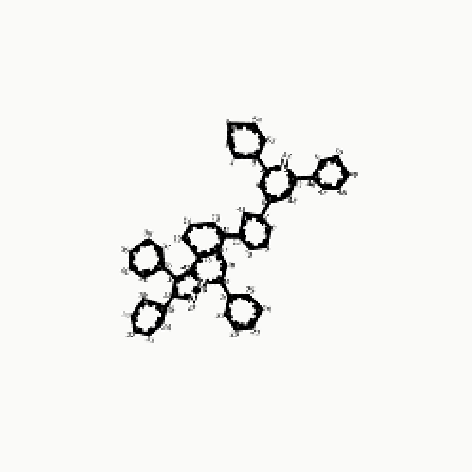 c1ccc(-c2cc(-c3cccc(-c4cccc5c4cc(-c4ccccc4)n4nc(-c6ccccc6)c(-c6ccccc6)c54)c3)cc(-c3ccccc3)n2)cc1